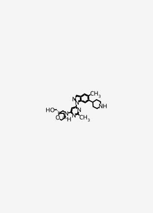 Cc1nc(N2C[C@@]3(CO)C[C@@H]2CO3)cc(-n2ncc3cc(C)c(C4CCNCC4)cc32)n1